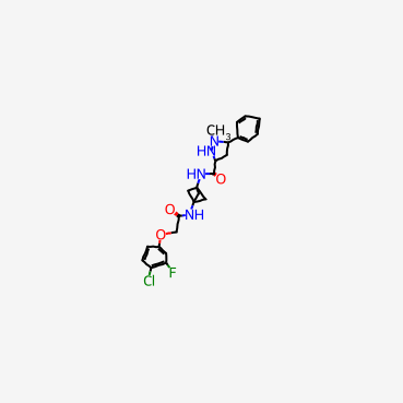 CN1NC(C(=O)NC23CC(NC(=O)COc4ccc(Cl)c(F)c4)(C2)C3)CC1c1ccccc1